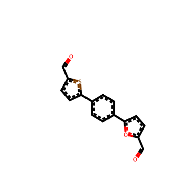 O=Cc1ccc(-c2ccc(-c3ccc(C=O)s3)cc2)o1